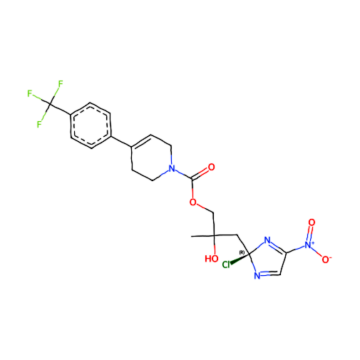 CC(O)(COC(=O)N1CC=C(c2ccc(C(F)(F)F)cc2)CC1)C[C@@]1(Cl)N=CC([N+](=O)[O-])=N1